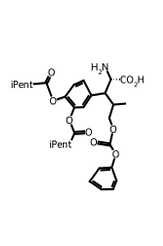 CCCC(C)C(=O)Oc1ccc(C(C(C)COC(=O)Oc2ccccc2)[C@H](N)C(=O)O)cc1OC(=O)C(C)CCC